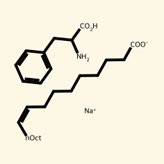 CCCCCCCC/C=C\CCCCCCCC(=O)[O-].NC(Cc1ccccc1)C(=O)O.[Na+]